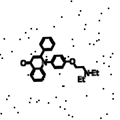 CCN(CC)CCOc1ccc(-n2c(-c3ccccc3)cc(=O)c3ccccc32)cc1